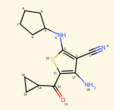 N#Cc1c(NC2CCCC2)sc(C(=O)C2CC2)c1N